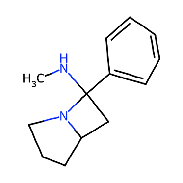 CNC1(c2ccccc2)CC2CCCN21